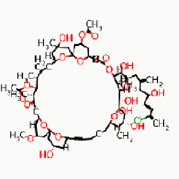 C=C(Cl)/C=C/[C@@H](O)CC(=C)C[C@H]1O[C@@H]2[C@H](C)[C@@H](OC(=O)C[C@H]3C[C@H](OC(C)=O)C[C@@]4(C[C@@](C)(O)C[C@H](CC(=C)[C@@H](C)[C@H](OC(C)=O)[C@@H](C)C(=O)C[C@@H]5C[C@@H](OC)C[C@@]6(C[C@@H](O)C[C@H](/C=C\CCC[C@@H]7O[C@](O)(C[C@H](O)[C@H]7C)[C@H]2O)O6)O5)O4)O3)[C@@H]1O